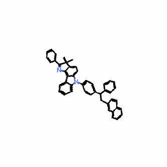 CC1(C)C(c2ccccc2)=Nc2c1ccc1c2c2ccccc2n1-c1ccc(C(Cc2ccc3ccccc3c2)c2ccccc2)cc1